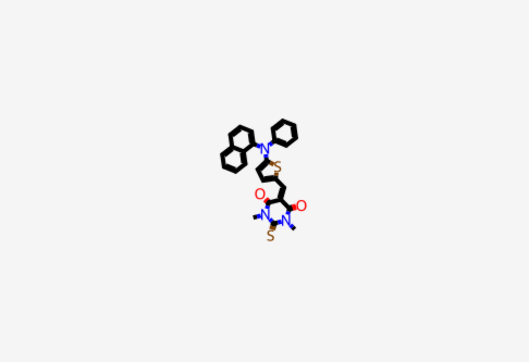 CN1C(=O)C(=Cc2ccc(N(c3ccccc3)c3cccc4ccccc34)s2)C(=O)N(C)C1=S